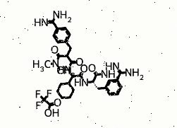 CN(C)C(=O)C(Cc1ccc(C(=N)N)cc1)C(=O)NC(C(=O)N[C@@H](Cc1cccc(C(=N)N)c1)C(N)=O)C1CCCCC1.O=C(O)C(F)(F)F